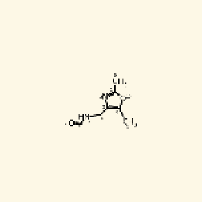 Cc1nc(CN[C]=O)c(C)o1